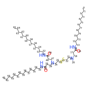 CCCCCCCCCCCCCCNC(=O)CCN(C)CCSSCCN(CCC(=O)NCCCCCCCCCCCCCC)CCC(=O)NCCCCCCCCCCCCCC